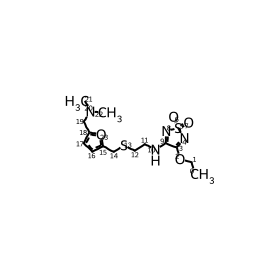 CCOC1=NS(=O)(=O)N=C1NCCSCc1ccc(CN(C)C)o1